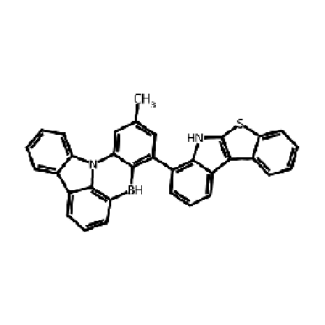 Cc1cc(-c2cccc3c2[nH]c2sc4ccccc4c23)c2c(c1)-n1c3ccccc3c3cccc(c31)B2